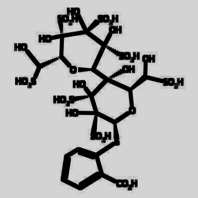 O=C(O)c1ccccc1S[C@@H]1O[C@H](C(O)S(=O)(=O)O)[C@](O)([C@@H]2O[C@H](C(O)S(=O)(=O)O)[C@](O)(S(=O)(=O)O)[C@@](O)(S(=O)(=O)O)[C@]2(O)S(=O)(=O)O)[C@@](O)(S(=O)(=O)O)[C@]1(O)S(=O)(=O)O